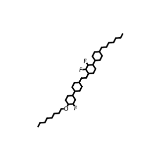 CCCCCCCCOC1CCC(C2CCC(CCC3CCC(C4CCC(CCCCCCC)CC4)C(F)C3F)CC2)CC1F